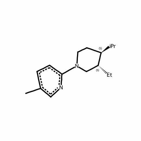 CC[C@@H]1CN(c2ccc(C)cn2)CC[C@H]1C(C)C